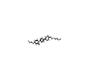 CCCCCCCc1ccc(-c2ccc(-c3ccc(CCCC)cc3F)cc2)cn1